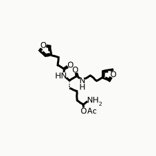 CC(=O)OC(N)CCC[C@H](NC(=O)CCc1ccoc1)C(=O)NCCc1ccoc1